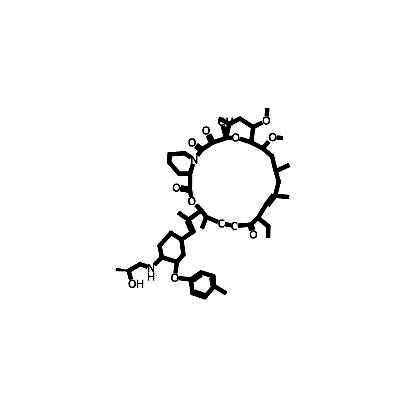 CCC1/C=C(\C)CC(C)CC(OC)C2OC(O)(C(=O)C(=O)N3CCCCC3C(=O)OC(C(C)=CC3CCC(NC[C@H](C)O)C(Oc4ccc(C)cc4)C3)C(C)CCC1=O)C(C)CC2OC